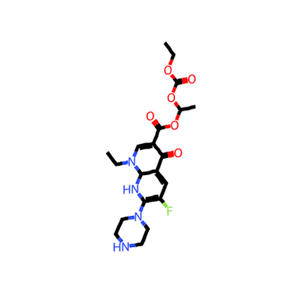 CCOC(=O)OC(C)OC(=O)C1=CN(CC)C2NC(N3CCNCC3)=C(F)C=C2C1=O